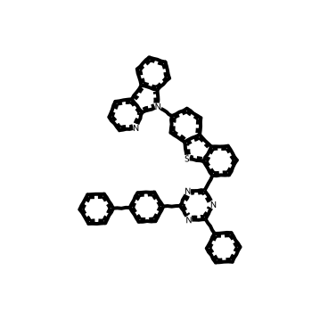 c1ccc(-c2ccc(-c3nc(-c4ccccc4)nc(-c4cccc5c4sc4cc(-n6c7ccccc7c7cccnc76)ccc45)n3)cc2)cc1